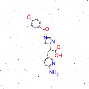 COc1ccc(C(=O)Cn2cnc(C(Cc3ccc(N)nc3)C(=O)O)c2)cc1